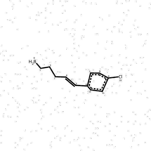 BCCC/C=C/c1ccc(Cl)cc1